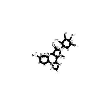 CCOC(=O)c1c(-c2ncnn2-c2ccc(C#N)cc2)n(C)n(-c2cc(F)c(F)c(C)c2F)c1=O